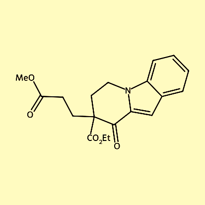 CCOC(=O)C1(CCC(=O)OC)CCn2c(cc3ccccc32)C1=O